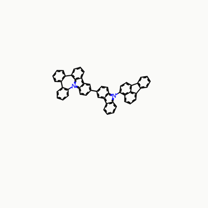 c1ccc2c(c1)-c1ccccc1-n1c3ccc(-c4ccc5c(c4)c4ccccc4n5-c4ccc5c6c(cccc46)-c4ccccc4-5)cc3c3cccc-2c31